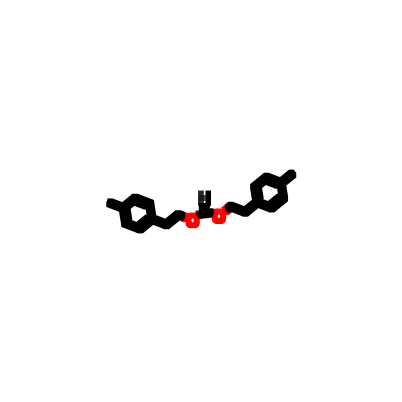 Cc1ccc(CCOBOCCc2ccc(C)cc2)cc1